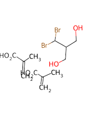 C=C(C)C(=O)O.C=C(C)C(=O)O.OCC(CO)C(Br)Br